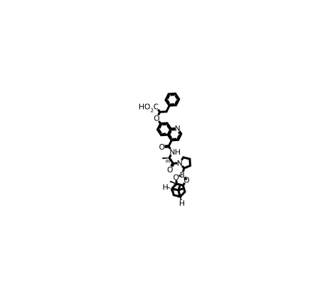 C[C@@H](NC(=O)c1ccnc2cc(OC(Cc3ccccc3)C(=O)O)ccc12)C(=O)N1CCCC1B1OC2C[C@@H]3C[C@H](C3(C)C)[C@]2(C)O1